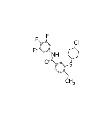 CCc1ccc(C(=O)Nc2cc(F)c(F)c(F)c2)cc1SC1CCC(Cl)CC1